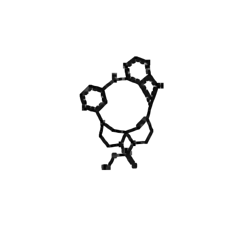 CN1CCN2CC13C=C(CCN3C(=O)OC(C)(C)C)c1cc3c(ncnc3[nH]1)Nc1ccnc2c1